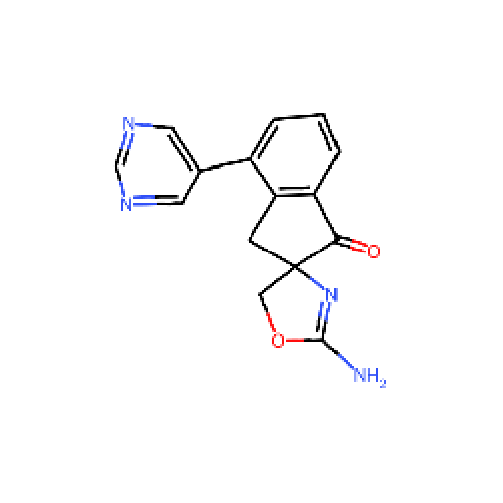 NC1=NC2(CO1)Cc1c(cccc1-c1cncnc1)C2=O